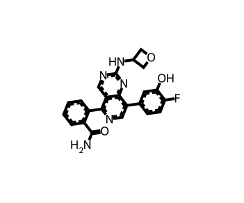 NC(=O)c1ccccc1-c1ncc(-c2ccc(F)c(O)c2)c2nc(NC3COC3)ncc12